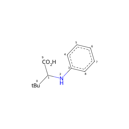 CC(C)(C)C(Nc1ccccc1)C(=O)O